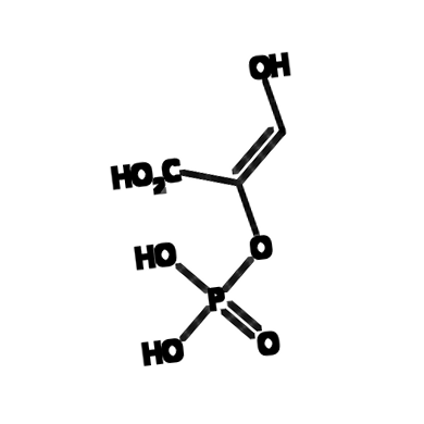 O=C(O)/C(=C\O)OP(=O)(O)O